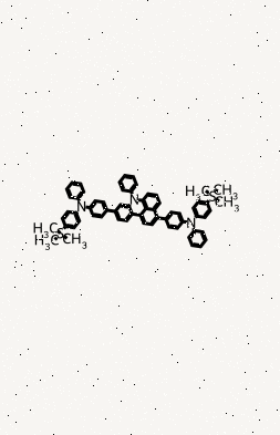 CS(C)(C)c1ccc(N(c2ccccc2)c2ccc(-c3ccc4c(c3)N(c3ccccc3)c3cccc5c(-c6ccc(N(c7ccccc7)c7ccc(S(C)(C)C)cc7)cc6)ccc-4c35)cc2)cc1